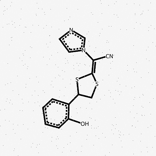 N#CC(=C1SCC(c2ccccc2O)S1)n1ccnc1